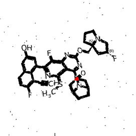 C#Cc1c(F)ccc2cc(O)cc(-c3nc(SC)c4c(N5CC6CCC(C5)N6C=O)nc(OC[C@@]56CCCN5C[C@H](F)C6)nc4c3F)c12